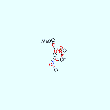 COc1ccccc1COCCCOc1ccc(C2CCN(C(=O)OCc3ccccc3)CC2OCc2ccc(C)c(OCCOS(=O)(=O)c3ccc(C)cc3)c2)cc1